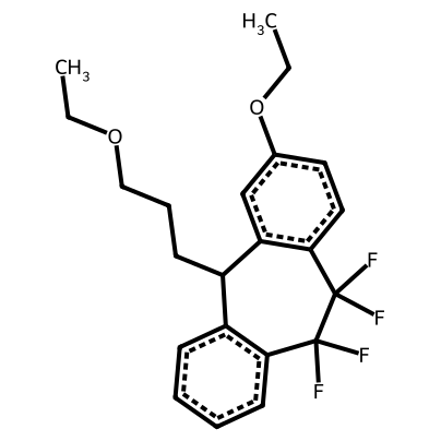 CCOCCCC1c2ccccc2C(F)(F)C(F)(F)c2ccc(OCC)cc21